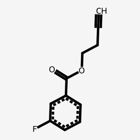 C#CCCOC(=O)c1cccc(F)c1